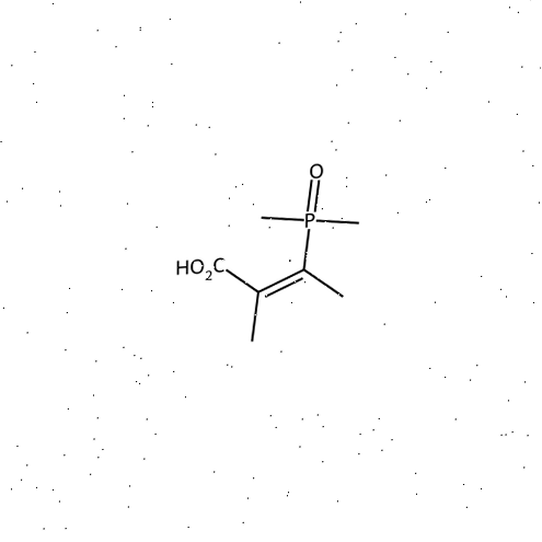 CC(C(=O)O)=C(C)P(C)(C)=O